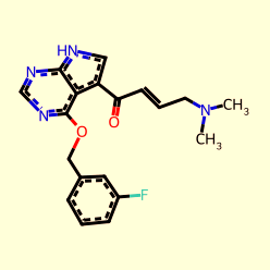 CN(C)CC=CC(=O)c1c[nH]c2ncnc(OCc3cccc(F)c3)c12